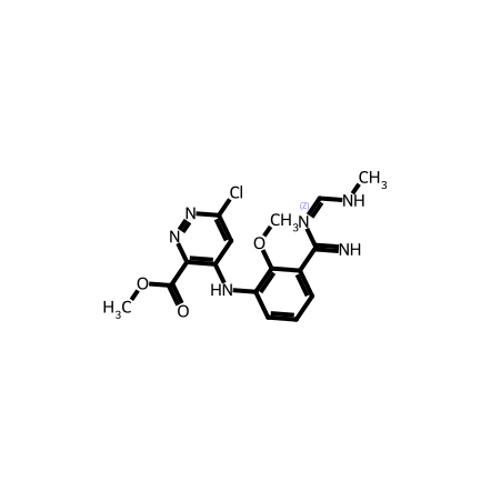 CN/C=N\C(=N)c1cccc(Nc2cc(Cl)nnc2C(=O)OC)c1OC